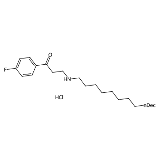 CCCCCCCCCCCCCCCCCCNCCC(=O)c1ccc(F)cc1.Cl